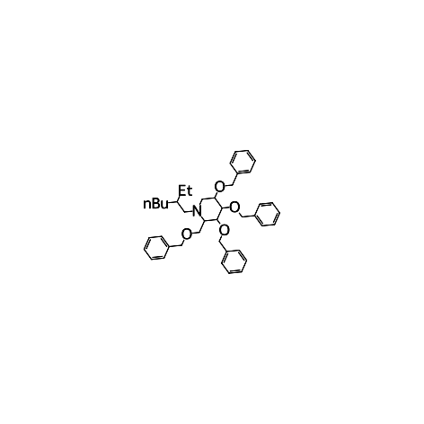 CCCCC(CC)CN1CC(OCc2ccccc2)C(OCc2ccccc2)C(OCc2ccccc2)C1COCc1ccccc1